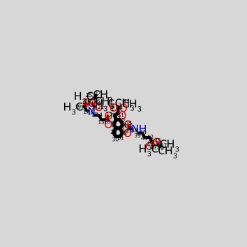 COC(C)(OC)c1cc2c(OC(=O)CCCN(CC(C)=O)C(=O)OC(C)(C)C)c3ccccc3c(OC(=O)NCCCCC(=O)OC(C)(C)C)c2o1